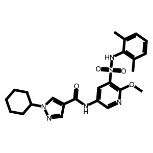 COc1ncc(NC(=O)c2cnn(C3CCCCC3)c2)cc1S(=O)(=O)Nc1c(C)cccc1C